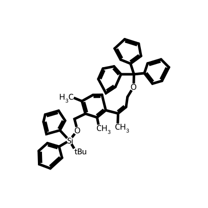 CC(=CCOC(c1ccccc1)(c1ccccc1)c1ccccc1)c1ccc(C)c(CO[Si](c2ccccc2)(c2ccccc2)C(C)(C)C)c1C